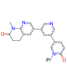 CC(C)n1cc(-c2cncc(-c3cnc4c(c3)CCC(=O)N4C)c2)ccc1=O